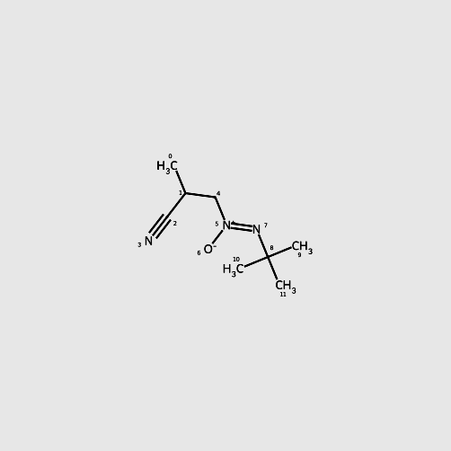 CC(C#N)C/[N+]([O-])=N/C(C)(C)C